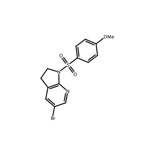 COc1ccc(S(=O)(=O)N2CCc3cc(Br)cnc32)cc1